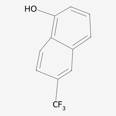 Oc1cccc2cc(C(F)(F)F)ccc12